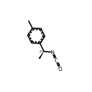 Cc1ccc([C@H](C)N=C=O)cc1